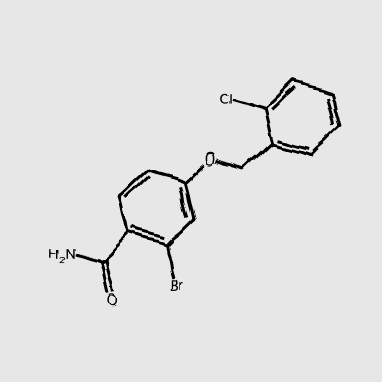 NC(=O)c1ccc(OCc2ccccc2Cl)cc1Br